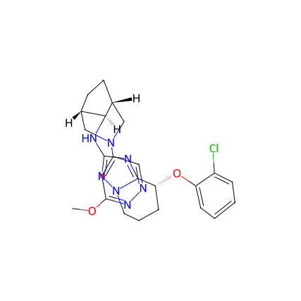 COc1cc(N2C[C@H]3CC[C@@H](C2)[C@@H]3Nc2nc3n(n2)CCC[C@H]3Oc2ccccc2Cl)cnn1